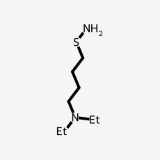 CCN(CC)CCCCSN